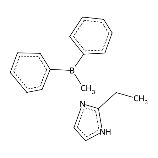 CB(c1ccccc1)c1ccccc1.CCc1ncc[nH]1